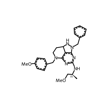 COC[C@H](C)Nc1nc2c3c(n1)N(Cc1ccccc1)NC3CCN2Cc1ccc(OC)cc1